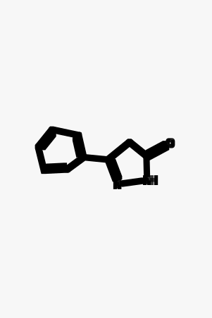 O=C1CC(c2ccccc2)=NN1